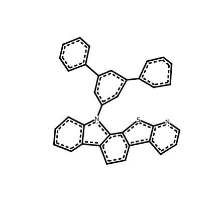 c1ccc(-c2cc(-c3ccccc3)cc(-n3c4ccccc4c4ccc5c6cccnc6sc5c43)c2)cc1